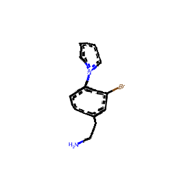 NCc1ccc(-n2cccc2)c(Br)c1